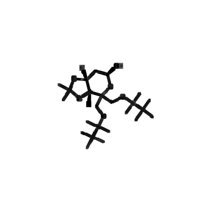 CC1(C)O[C@@H]2[C@@H](C[C@@H](O)OC2(CO[Si](C)(C)C(C)(C)C)CO[Si](C)(C)C(C)(C)C)O1